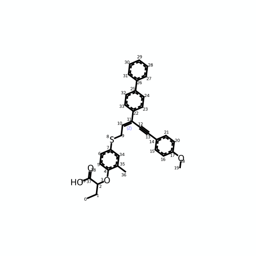 CCC(Oc1ccc(SC/C=C(\C#Cc2ccc(OC)cc2)c2ccc(-c3ccccc3)cc2)cc1C)C(=O)O